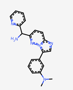 CN(C)c1cccc(-c2cnc3ccc(C(N)c4ccccn4)nn23)c1